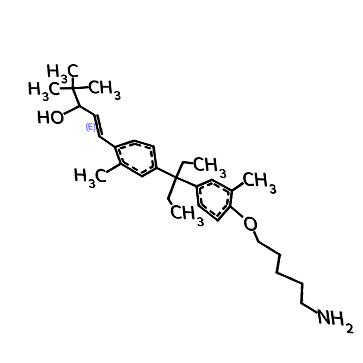 CCC(CC)(c1ccc(/C=C/C(O)C(C)(C)C)c(C)c1)c1ccc(OCCCCCN)c(C)c1